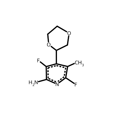 Cc1c(F)nc(N)c(F)c1C1COCCO1